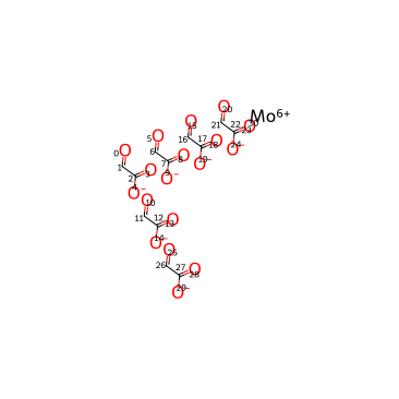 O=CC(=O)[O-].O=CC(=O)[O-].O=CC(=O)[O-].O=CC(=O)[O-].O=CC(=O)[O-].O=CC(=O)[O-].[Mo+6]